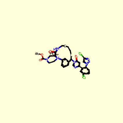 CC(C)(C)OC(=O)N1CCN2c3cccc(c3)C(n3cnc(-c4cc(Cl)ccc4-n4cc(Cl)nn4)cc3=O)CCCCCNC(=O)[C@@H]2C1